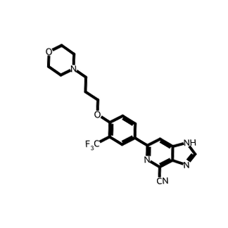 N#Cc1nc(-c2ccc(OCCCN3CCOCC3)c(C(F)(F)F)c2)cc2[nH]cnc12